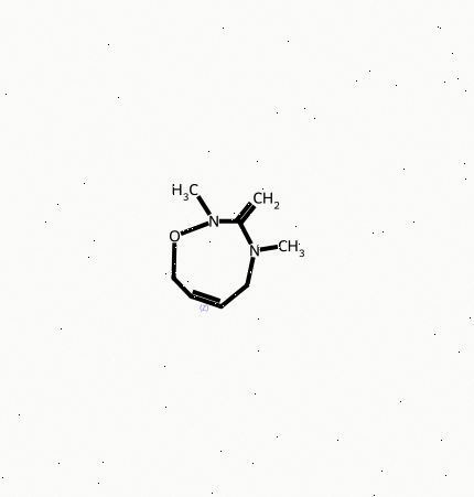 C=C1N(C)C/C=C\CON1C